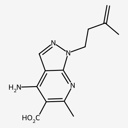 C=C(C)CCn1ncc2c(N)c(C(=O)O)c(C)nc21